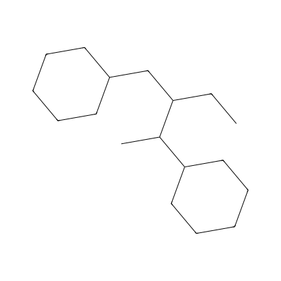 CCC(CC1CCCCC1)C(C)C1CCCCC1